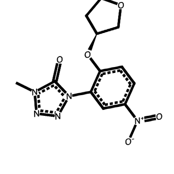 Cn1nnn(-c2cc([N+](=O)[O-])ccc2O[C@H]2CCOC2)c1=O